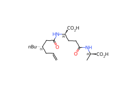 C=CC[C@H](CCCC)CC(=O)N[C@H](CCC(=O)N[C@H](C)C(=O)O)C(=O)O